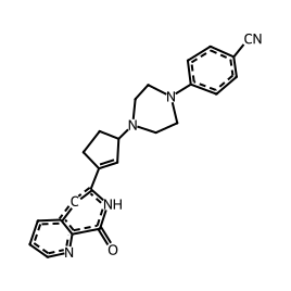 N#Cc1ccc(N2CCN(C3C=C(c4cc5cccnc5c(=O)[nH]4)CC3)CC2)cc1